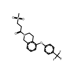 CS(=O)(=O)CCC(=O)N1CCc2c(cccc2Oc2ccc(C(F)(F)F)cc2)C1